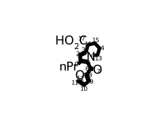 CCCc1cc2n(c1C(=O)c1ccco1)CCCC2C(=O)O